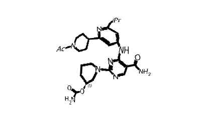 CC(=O)N1CCC(c2cc(Nc3nc(N4CCC[C@H](OC(N)=O)C4)ncc3C(N)=O)cc(C(C)C)n2)CC1